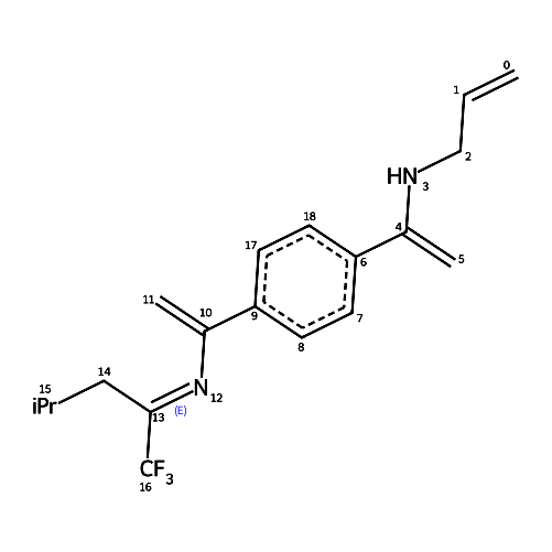 C=CCNC(=C)c1ccc(C(=C)/N=C(\CC(C)C)C(F)(F)F)cc1